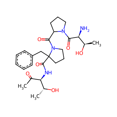 CC(=O)[C@@H](NC(=O)C1(Cc2ccccc2)CCCN1C(=O)C1CCCN1C(=O)[C@@H](N)[C@@H](C)O)[C@@H](C)O